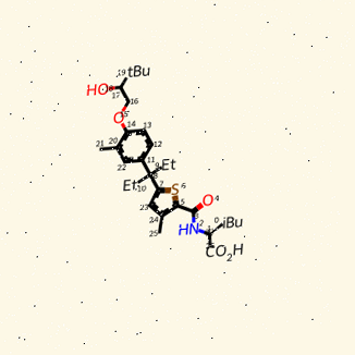 CCC(C)[C@H](NC(=O)c1sc(C(CC)(CC)c2ccc(OCC(O)C(C)(C)C)c(C)c2)cc1C)C(=O)O